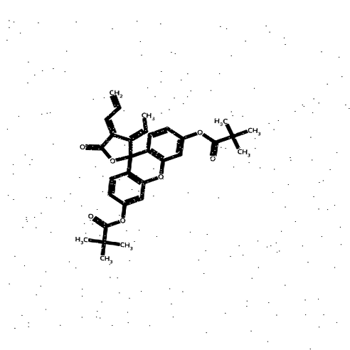 C=C/C=C1/C(=O)OC2(/C1=C/C)c1ccc(OC(=O)C(C)(C)C)cc1Oc1cc(OC(=O)C(C)(C)C)ccc12